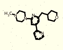 CN1CCN(c2cc(-c3ccccn3)cc(CC3CCOCC3)n2)CC1